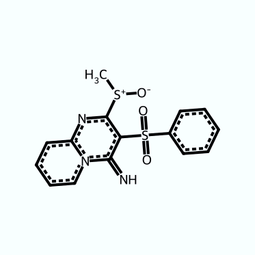 C[S+]([O-])c1nc2ccccn2c(=N)c1S(=O)(=O)c1ccccc1